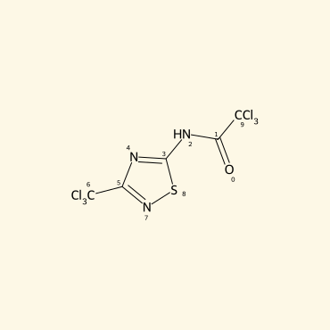 O=C(Nc1nc(C(Cl)(Cl)Cl)ns1)C(Cl)(Cl)Cl